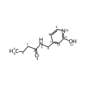 CCCC(=O)NCc1ccnc(O)c1